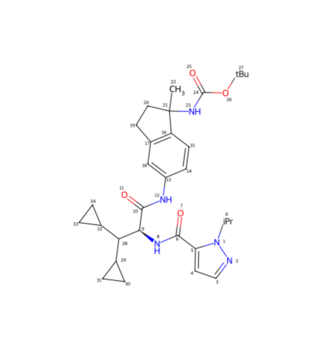 CC(C)n1nccc1C(=O)N[C@H](C(=O)Nc1ccc2c(c1)CCC2(C)NC(=O)OC(C)(C)C)C(C1CC1)C1CC1